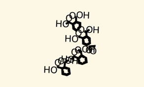 C1COO1.O=C(O)c1ccccc1C(=O)O.O=C(O)c1ccccc1C(=O)O.O=C(O)c1ccccc1C(=O)O.O=C(O)c1ccccc1C(=O)O